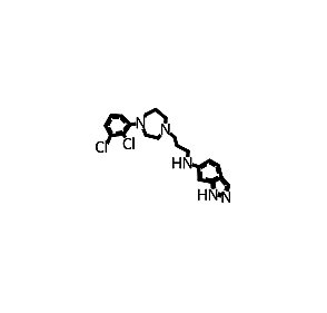 Clc1cccc(N2CCCN(CCCNc3ccc4cn[nH]c4c3)CC2)c1Cl